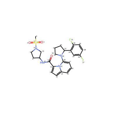 CS(=O)(=O)N1CCC(NC(=O)c2ccc3cccc(N4CCCC4c4cc(F)ccc4F)n23)C1